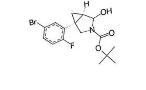 CC(C)(C)OC(=O)N1C[C@@]2(c3cc(Br)ccc3F)C[C@H]2C1O